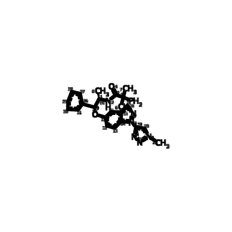 C[C@H](NC(=O)C(C)(C)P)[C@H](Oc1ccc2c(cnn2-c2cn(C)nn2)c1)c1ccccc1